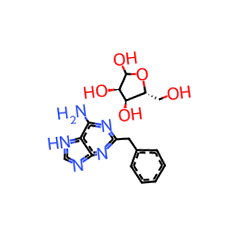 Nc1nc(Cc2ccccc2)nc2nc[nH]c12.OC[C@H]1OC(O)[C@H](O)[C@@H]1O